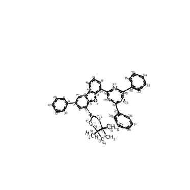 CC1(C)OB(c2cc(-c3ccccc3)cc3c2oc2c(-c4nc(-c5ccccc5)nc(-c5ccccc5)n4)cccc23)OC1(C)C